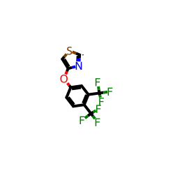 FC(F)(F)c1ccc(Oc2cs[c]n2)cc1C(F)(F)F